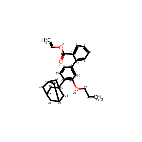 C=COC(=O)c1ccccc1-c1ccc(C23CC4CC(CC(C4)C2)C3)c(OCCC)c1